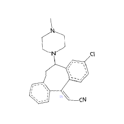 CN1CCN(C2Cc3ccccc3/C(=C/C#N)c3ccc(Cl)cc32)CC1